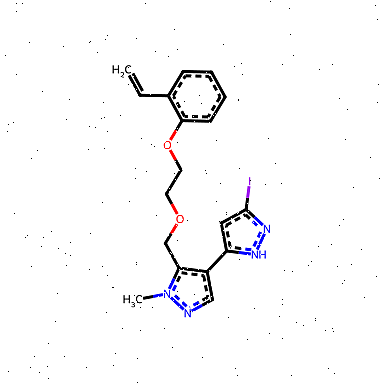 C=Cc1ccccc1OCCOCc1c(-c2cc(I)n[nH]2)cnn1C